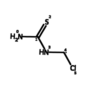 NC(=S)N[CH]Cl